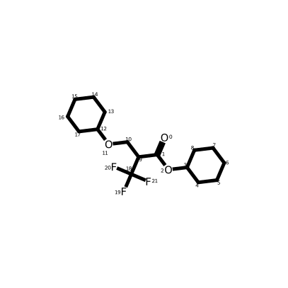 O=C(OC1CCCCC1)C(COC1CCCCC1)C(F)(F)F